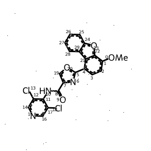 COc1ccc(-c2nc(C(=O)Nc3c(Cl)cncc3Cl)co2)c2c1oc1ccccc12